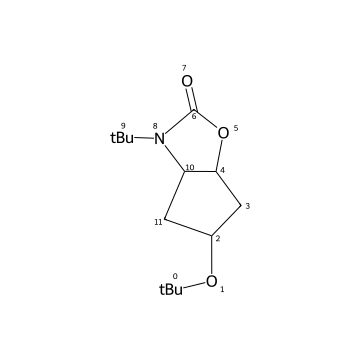 CC(C)(C)OC1CC2OC(=O)N(C(C)(C)C)C2C1